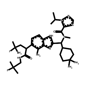 BC(C)(F)CC(C(=O)NCC(C)(C)F)c1ccc2[nH]c(C(C3CCC(P)(P)CC3)N(C)C(=O)c3ncnn3C(C)C)nc2c1P